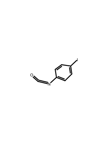 O=C=Nc1ccc(I)cc1